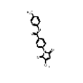 CC1=CC(=O)N(c2ccc(C(=O)Oc3ccc(C)cc3)cc2)C1=O